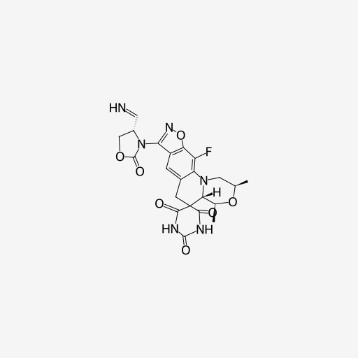 C[C@@H]1CN2c3c(cc4c(N5C(=O)OC[C@@H]5C=N)noc4c3F)CC3(C(=O)NC(=O)NC3=O)[C@H]2[C@H](C)O1